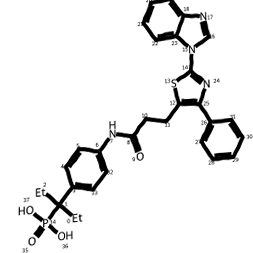 CCC(CC)(c1ccc(NC(=O)CCc2sc(-n3cnc4ccccc43)nc2-c2ccccc2)cc1)P(=O)(O)O